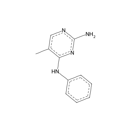 Cc1cnc(N)nc1Nc1ccccc1